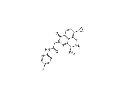 O=C(Cn1nc(C(P)P)c2c(F)c(C3CC3)ccc2c1=O)Nc1ncc(F)cn1